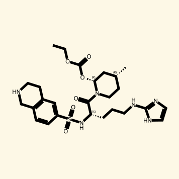 CCOC(=O)O[C@@H]1C[C@H](C)CCN1C(=O)[C@H](CCCNc1ncc[nH]1)NS(=O)(=O)c1ccc2c(c1)CCNC2